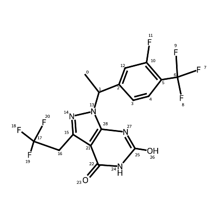 CC(c1ccc(C(F)(F)F)c(F)c1)n1nc(CC(F)(F)F)c2c(=O)[nH]c(O)nc21